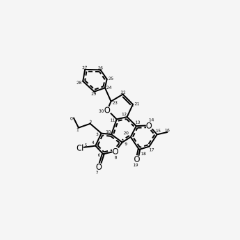 CCCc1c(Cl)c(=O)oc2c1c1c(c3oc(C)cc(=O)c32)[C]=CC(c2ccccc2)O1